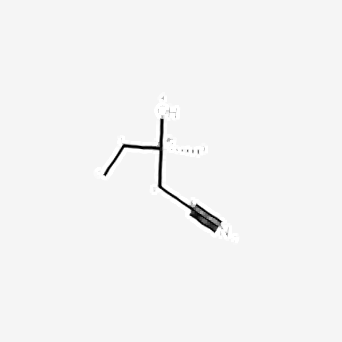 CC[C@@](C)(O)CC#N